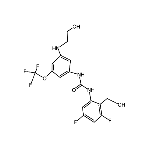 O=C(Nc1cc(NCCO)cc(OC(F)(F)F)c1)Nc1cc(F)cc(F)c1CO